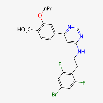 CCCOc1cc(-c2cc(NCCc3c(F)cc(Br)cc3F)ncn2)ccc1C(=O)O